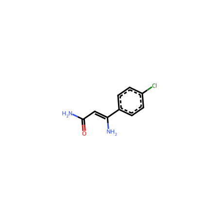 NC(=O)/C=C(\N)c1ccc(Cl)cc1